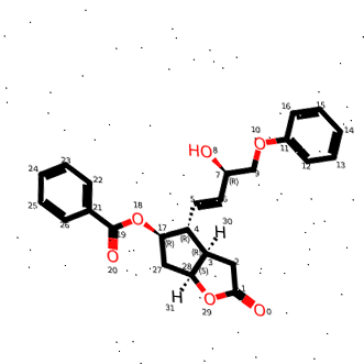 O=C1C[C@@H]2[C@@H](C=C[C@@H](O)COc3ccccc3)[C@H](OC(=O)c3ccccc3)C[C@@H]2O1